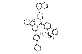 CC1(C)c2ccccc2-c2ccc(N(c3ccc(-c4cccc5ccccc45)cc3)c3cc(-c4ccc(-c5ccccc5)cc4)cc4c3oc3ccccc34)cc21